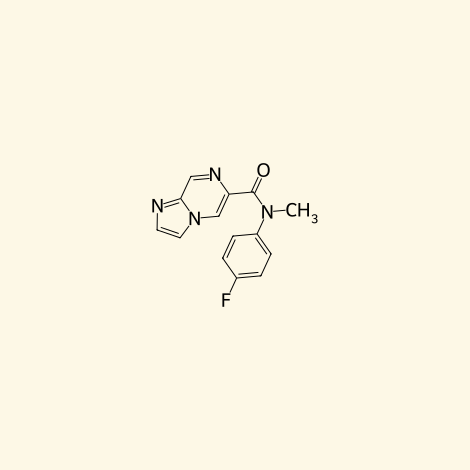 CN(C(=O)c1cn2ccnc2cn1)c1ccc(F)cc1